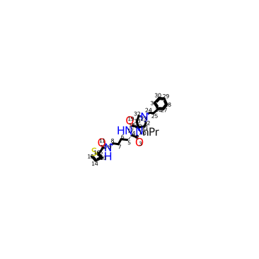 CCCN1C(=O)[C@H](CCCCNC(=O)c2cccs2)NC(=O)C12CCN(CCc1ccccc1)CC2